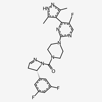 Cc1n[nH]c(C)c1-c1nc(N2CCN(C(=O)N3N=CC[C@H]3c3cc(F)cc(F)c3)CC2)ncc1F